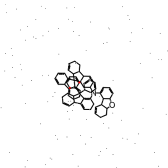 C1=CCC(C2(C3C=CC=CC3)C3=C(N(C4=CC=CC5OC6CCC=CC6C45)C4C=CC5C6CCC=CC6C6(C7=CCCC=C7C7C=CC=CC76)C5C4)CCC=C3C3C=CCCC32)C=C1